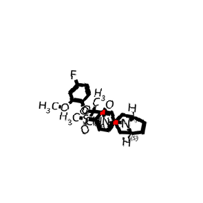 COc1cc(F)ccc1OC(C)(C)C(=O)N[C@H]1C[C@H]2CC[C@@H](C1)N2c1ccc(S(C)(=O)=O)cc1